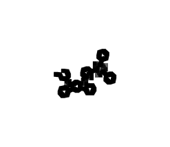 C=C/C=C(\C=C/C)n1c2ccccc2c2cc3c4ccccc4n(-c4cccc(-c5nc(-c6ccccc6)nc(-c6ccccc6)n5)n4)c3cc21